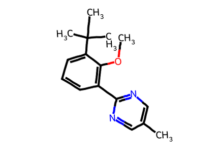 COc1c(-c2ncc(C)cn2)cccc1C(C)(C)C